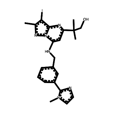 Cc1nn2c(NCc3cccc(-c4nccn4C)c3)cc(C(C)(C)CO)nc2c1I